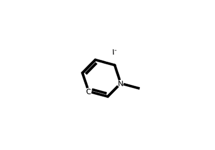 CN1C=[C+]C=CC1.[I-]